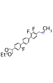 C/C=C\Cc1ccc(-c2ccc(-c3ccc(C4COC(CC)OC4)cc3F)cc2)c(F)c1F